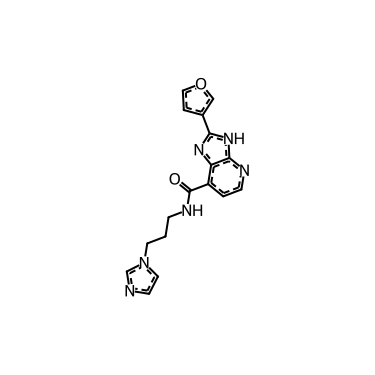 O=C(NCCCn1ccnc1)c1ccnc2[nH]c(-c3ccoc3)nc12